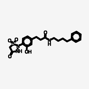 O=C(CCc1ccc(N2NC(=O)CS2(=O)=O)c(O)c1)NCCCCc1ccccc1